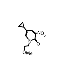 COCCn1cc(C2CC2)cc([N+](=O)[O-])c1=O